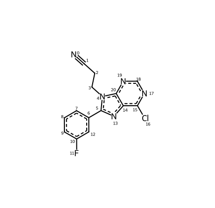 N#CCCn1c(-c2cccc(F)c2)nc2c(Cl)ncnc21